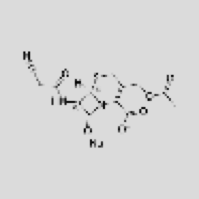 CC(=O)OCC1=C(C(=O)[O-])N2C(=O)[C@@H](NC(=O)CC#N)[C@H]2SC1.[Na+]